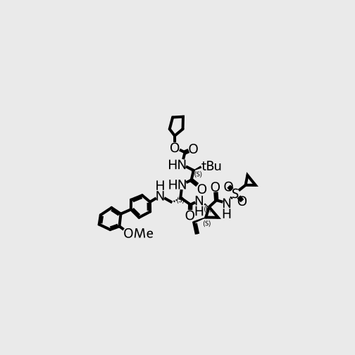 C=C[C@@H]1C[C@]1(NC(=O)[C@H](CNc1ccc(-c2ccccc2OC)cc1)NC(=O)[C@@H](NC(=O)OC1CCCC1)C(C)(C)C)C(=O)NS(=O)(=O)C1CC1